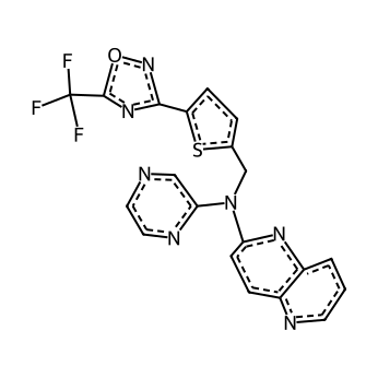 FC(F)(F)c1nc(-c2ccc(CN(c3cnccn3)c3ccc4ncccc4n3)s2)no1